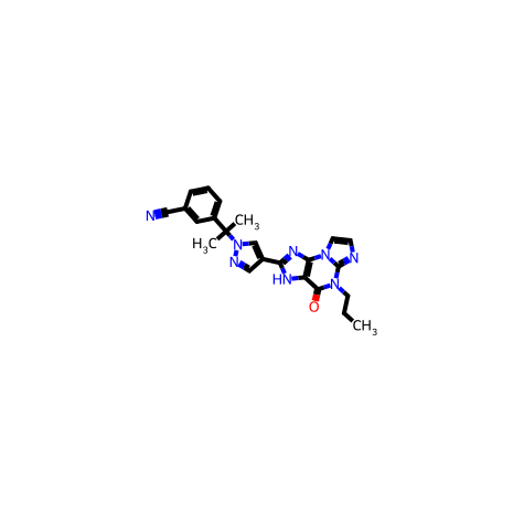 CCCn1c(=O)c2[nH]c(-c3cnn(C(C)(C)c4cccc(C#N)c4)c3)nc2n2ccnc12